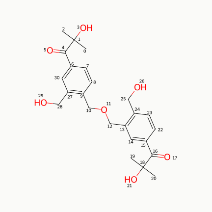 CC(C)(O)C(=O)c1ccc(COCc2cc(C(=O)C(C)(C)O)ccc2CO)c(CO)c1